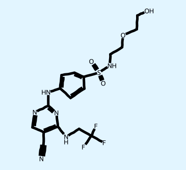 N#Cc1cnc(Nc2ccc(S(=O)(=O)NCCOCCO)cc2)nc1NCC(F)(F)F